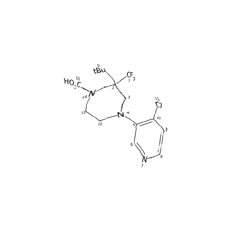 CC(C)(C)C1(C(F)(F)F)CN(c2cnccc2Cl)CCN1C(=O)O